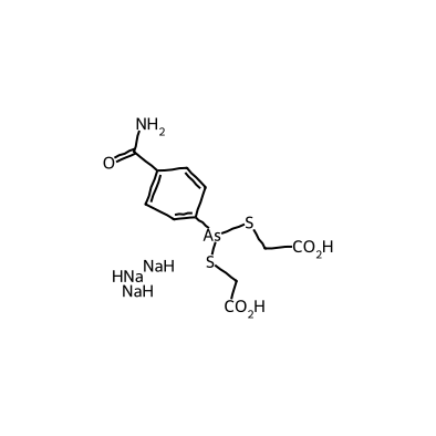 NC(=O)c1ccc([As](SCC(=O)O)SCC(=O)O)cc1.[NaH].[NaH].[NaH]